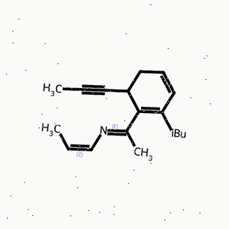 CC#CC1CC=CC(C(C)CC)=C1/C(C)=N/C=C\C